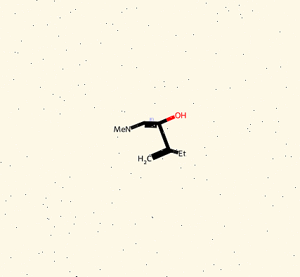 C=C(CC)/C(O)=C\NC